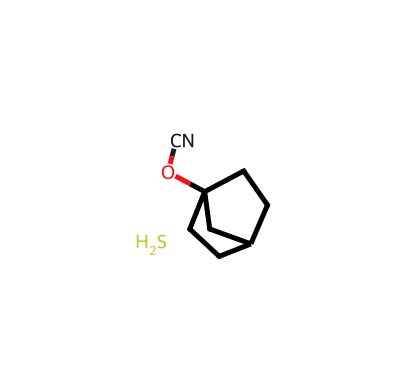 N#COC12CCC(CC1)C2.S